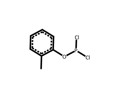 Cc1ccccc1OP(Cl)Cl